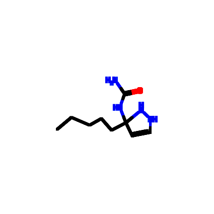 CCCCCC1(NC(N)=O)C=CNN1